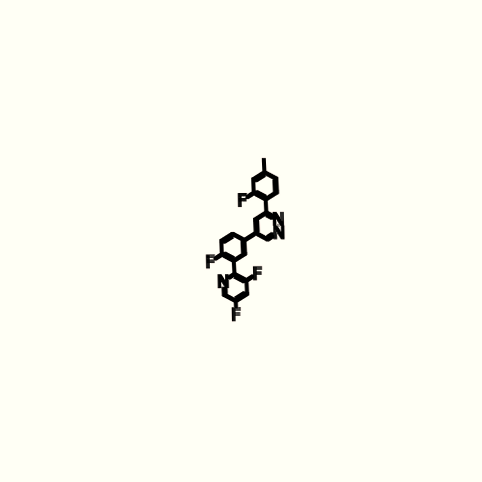 Cc1ccc(-c2cc(-c3ccc(F)c(-c4ncc(F)cc4F)c3)cnn2)c(F)c1